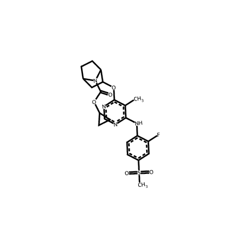 Cc1c(Nc2ccc(S(C)(=O)=O)cc2F)ncnc1OC1CC2CCC1N2C(=O)OC1CC1